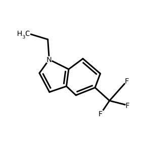 CCn1ccc2cc(C(F)(F)F)ccc21